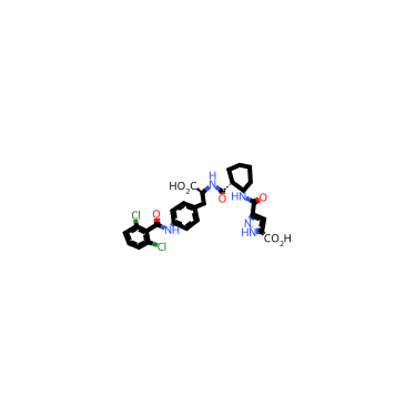 O=C(N[C@H]1CCCC[C@H]1C(=O)N[C@@H](Cc1ccc(NC(=O)c2c(Cl)cccc2Cl)cc1)C(=O)O)c1cc(C(=O)O)[nH]n1